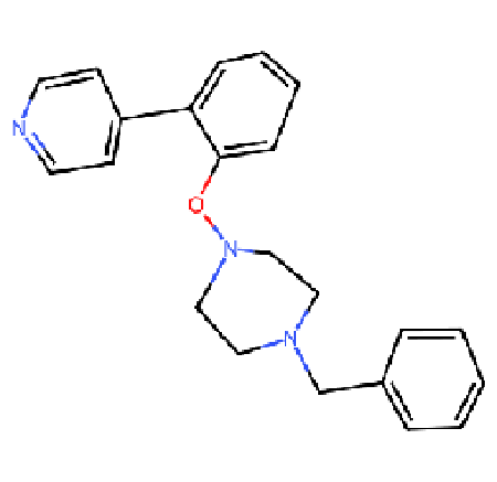 c1ccc(CN2CCN(Oc3ccccc3-c3ccncc3)CC2)cc1